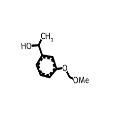 COCOc1cccc(C(C)O)c1